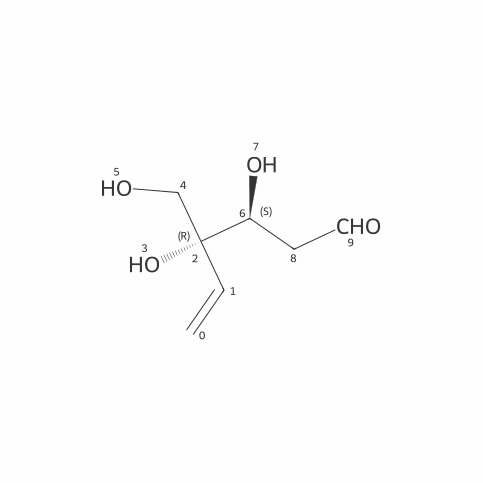 C=C[C@@](O)(CO)[C@@H](O)CC=O